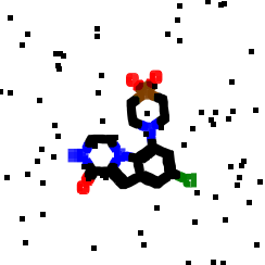 O=C1NCCn2c1cc1cc(Cl)cc(N3CCS(=O)(=O)CC3)c12